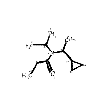 CCC(=O)N(C(C)C)C(C)C1CC1